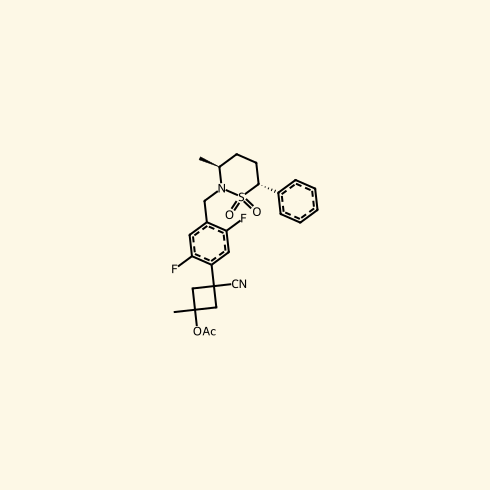 CC(=O)OC1(C)CC(C#N)(c2cc(F)c(CN3[C@@H](C)CC[C@H](c4ccccc4)S3(=O)=O)cc2F)C1